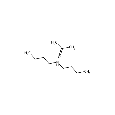 CC(C)=O.CCCCNCCCC